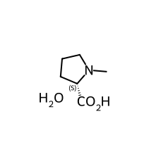 CN1CCC[C@H]1C(=O)O.O